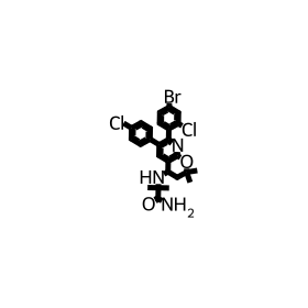 CC1(C)CC(NC(C)(C)C(N)=O)c2cc(-c3ccc(Cl)cc3)c(-c3ccc(Br)cc3Cl)nc2O1